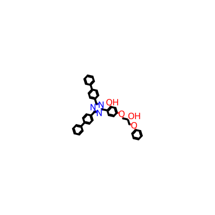 Oc1cc(OCC(O)COc2ccccc2)ccc1-c1nc(-c2ccc(-c3ccccc3)cc2)nc(-c2ccc(-c3ccccc3)cc2)n1